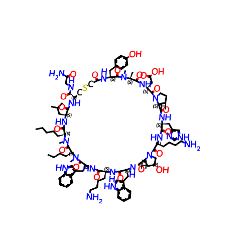 CCCCC[C@H]1C(=O)N[C@@H](CC(C)C)C(=O)N[C@H](C(=O)NCC(N)=O)CSCC(=O)N[C@@H](Cc2ccc(O)cc2)C(=O)N(C)[C@@H](C)C(=O)N[C@@H](CC(=O)O)C(=O)N2CCC[C@H]2C(=O)N[C@@H](Cc2c[nH]cn2)C(=O)N[C@@H](CCCCN)C(=O)N2C[C@H](O)C[C@H]2C(=O)N[C@@H](Cc2c[nH]c3ccccc23)C(=O)N[C@@H](CCCCN)C(=O)N[C@@H](Cc2c[nH]c3ccccc23)C(=O)N(C)[C@@H](CCCC)C(=O)N1C